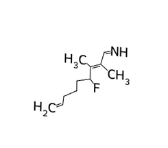 C=CCCCC(F)/C(C)=C(\C)C=N